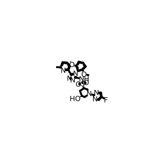 COc1cccc(OC)c1-n1c(NS(=O)(=O)C2C[C@H](O)CN(c3ncc(F)cn3)C2)nnc1-c1cccc(C)n1